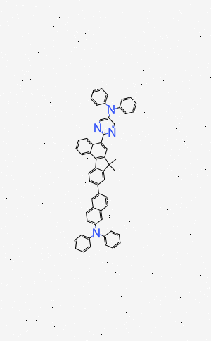 CC1(C)c2cc(-c3ccc4cc(N(c5ccccc5)c5ccccc5)ccc4c3)ccc2-c2c1cc(-c1ncc(N(c3ccccc3)c3ccccc3)cn1)c1ccccc21